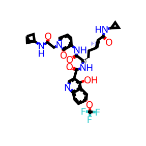 O=C(/C=C/CC[C@H](NC(=O)c1cnc2ccc(OC(F)(F)F)cc2c1O)C(=O)Nc1cccn(CC(=O)NC23CC(C2)C3)c1=O)NC1CC1